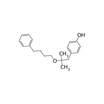 CC(C)(Cc1ccc(O)cc1)OCCCCc1ccccc1